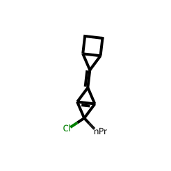 CCCC1(Cl)C2=C1C2=C1C2CCC12